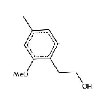 COc1cc(C)c[c]c1CCO